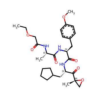 CCOCC(=O)N[C@@H](C)C(=O)N[C@@H](Cc1ccc(OC)cc1)C(=O)N[C@@H](CC1CCCC1)C(=O)[C@@]1(C)CO1